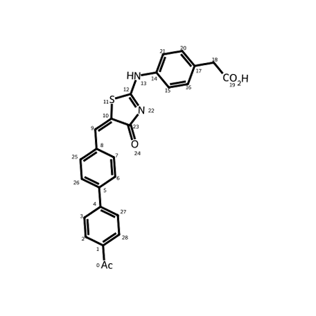 CC(=O)c1ccc(-c2ccc(C=C3SC(Nc4ccc(CC(=O)O)cc4)=NC3=O)cc2)cc1